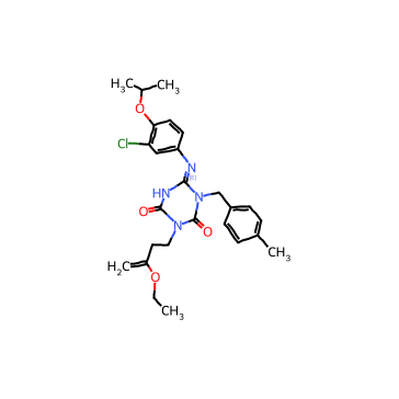 C=C(CCn1c(=O)[nH]/c(=N\c2ccc(OC(C)C)c(Cl)c2)n(Cc2ccc(C)cc2)c1=O)OCC